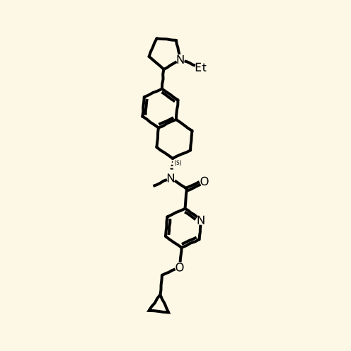 CCN1CCCC1c1ccc2c(c1)CC[C@H](N(C)C(=O)c1ccc(OCC3CC3)cn1)C2